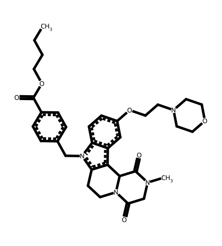 CCCCOC(=O)c1ccc(Cn2c3c(c4cc(OCCN5CCOCC5)ccc42)C2C(=O)N(C)CC(=O)N2CC3)cc1